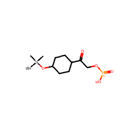 CC(C)(C)[Si](C)(C)OC1CCC(C(=O)CO[PH](=O)O)CC1